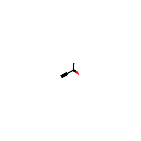 C#CC([CH2])=O